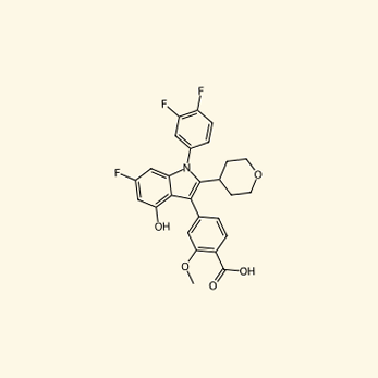 COc1cc(-c2c(C3CCOCC3)n(-c3ccc(F)c(F)c3)c3cc(F)cc(O)c23)ccc1C(=O)O